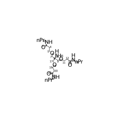 CCCNC(=O)CCOCC(COCCC(=O)NCCC)(COCCC(=O)NCCC)NI